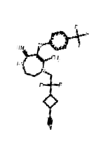 CC1=C(Oc2ccc(C(F)(F)F)cc2)C(=N)NCCN1CC(F)(F)C1CC(C#N)C1